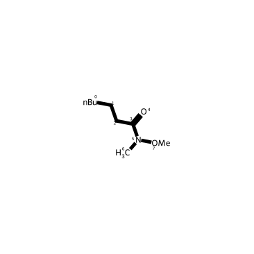 CCCCCCC(=O)N(C)OC